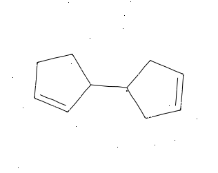 C1=CC([C]2CC=CC2)CC1